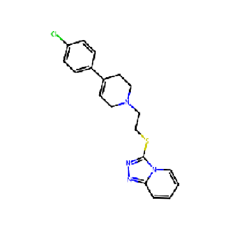 Clc1ccc(C2=CCN(CCSc3nnc4ccccn34)CC2)cc1